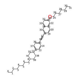 CCCCCCCCC1CCC(c2ccc(C#Cc3ccc4cc(OCCCCCCC)ccc4c3)cc2)CC1